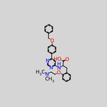 CN(C)CCOc1ccccc1CC(Nc1cc(-c2ccc(OCc3ccccc3)cc2)ncn1)C(=O)O